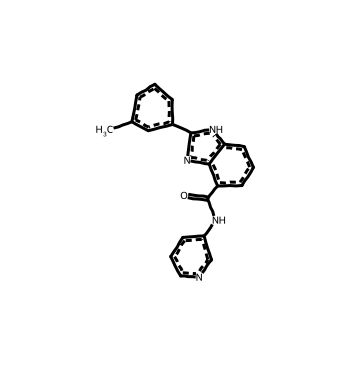 Cc1cccc(-c2nc3c(C(=O)Nc4cccnc4)cccc3[nH]2)c1